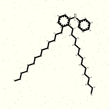 CCCCCCCCCCCCCCc1cccc(Nc2ccccc2)c1CCCCCCCCCCCCCC